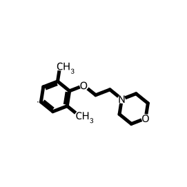 Cc1c[c]cc(C)c1OCCN1CCOCC1